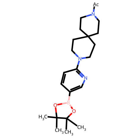 CC(=O)N1CCC2(CC1)CCN(c1ccc(B3OC(C)(C)C(C)(C)O3)cn1)CC2